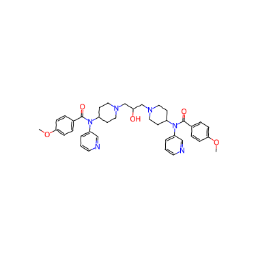 COc1ccc(C(=O)N(c2cccnc2)C2CCN(CC(O)CN3CCC(N(C(=O)c4ccc(OC)cc4)c4cccnc4)CC3)CC2)cc1